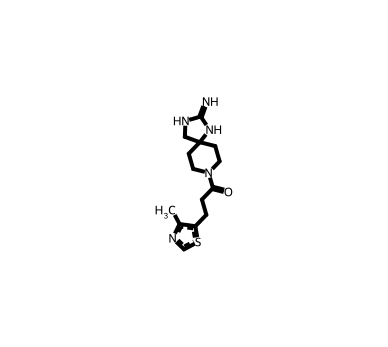 Cc1ncsc1CCC(=O)N1CCC2(CC1)CNC(=N)N2